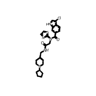 O=C(CN(C(=O)c1ccc2c(Cl)c[nH]c2c1)c1nccs1)NCC1CCN(C2CCCC2)CC1